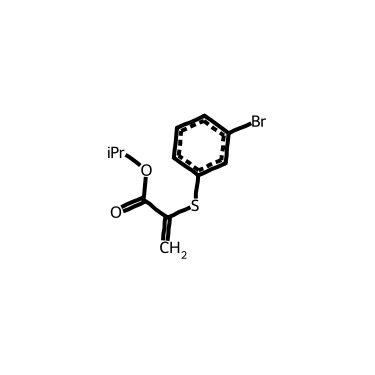 C=C(Sc1cccc(Br)c1)C(=O)OC(C)C